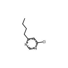 CCCCc1cc(Cl)ncn1